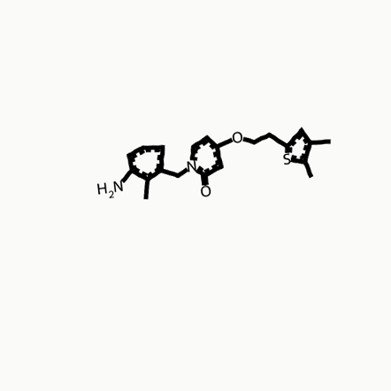 Cc1cc(CCOc2ccn(Cc3cccc(N)c3C)c(=O)c2)sc1C